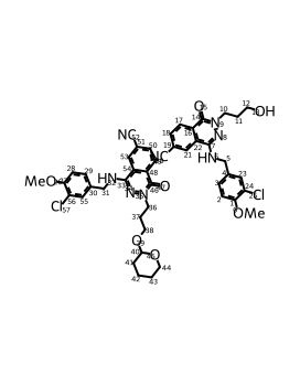 COc1ccc(CNc2nn(CCCO)c(=O)c3ccc(C#N)cc23)cc1Cl.COc1ccc(CNc2nn(CCCOC3CCCCO3)c(=O)c3ccc(C#N)cc23)cc1Cl